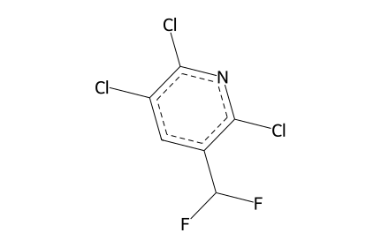 FC(F)c1cc(Cl)c(Cl)nc1Cl